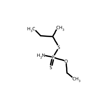 CCOP(N)(=S)SC(C)CC